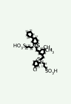 CC1(C)CC(/C=C2\Sc3ccc(Cl)cc3N2CCCS(=O)(=O)O)=CC(=C/c2sc3ccc(-c4ccccc4)cc3[n+]2CCCS(=O)(=O)O)/C1